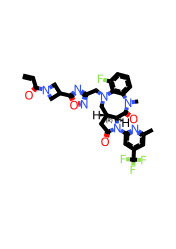 C=CC(=O)N1CC(c2nc(CN3C[C@H]4CC(=O)N(c5cc(C(F)(F)F)cc(C)n5)[C@@H]4C(=O)N(C)c4cccc(F)c43)no2)C1